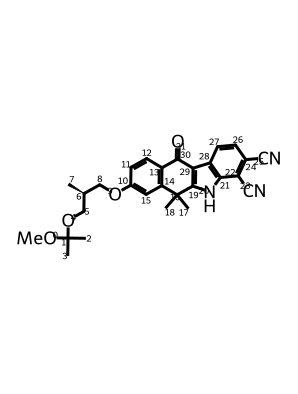 COC(C)(C)OC[C@@H](C)COc1ccc2c(c1)C(C)(C)c1[nH]c3c(C#N)c(C#N)ccc3c1C2=O